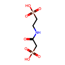 O=C(CS(=O)(=O)O)NCCS(=O)(=O)O